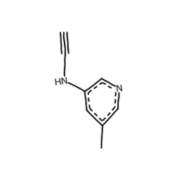 C#CNc1cncc(C)c1